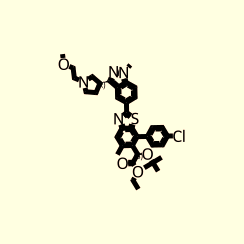 CCOC(=O)[C@@H](OC(C)(C)C)c1c(C)cc2nc(-c3ccc4c(c3)c([C@@H]3CCN(CCOC)C3)nn4C)sc2c1-c1ccc(Cl)cc1